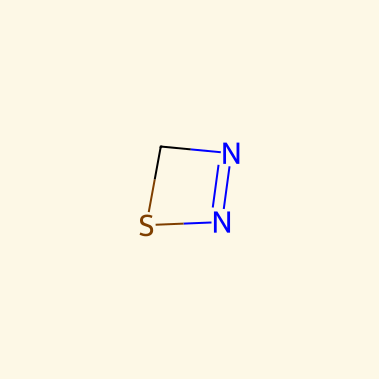 C1N=NS1